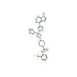 C/N=C\CC1(n2cc(-c3ncnc4[nH]ccc34)cn2)CN(C2CCN(C(=O)Nc3ccc(F)cc3C(F)(F)F)CC2)C1